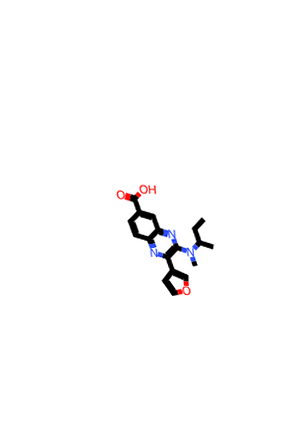 CCC(C)N(C)c1nc2cc(C(=O)O)ccc2nc1-c1ccoc1